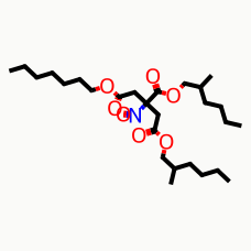 CCCCCCCOC(=O)CC(CC(=O)OCC(C)CCCC)(N=O)C(=O)OCC(C)CCCC